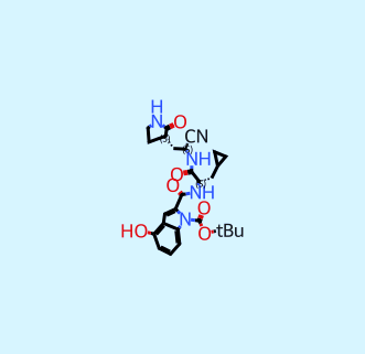 CC(C)(C)OC(=O)n1c(C(=O)N[C@@H](CC2CC2)C(=O)N[C@H](C#N)C[C@@H]2CCNC2=O)cc2c(O)cccc21